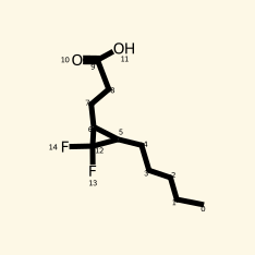 CCCCCC1C(CCC(=O)O)C1(F)F